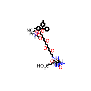 Cc1ccc(C(OCC(CC(=O)CCC(=O)CCC(=O)CCC(=O)CCCNC(=O)[C@@]2(CCCCC(=O)O)SC[C@@H]3NC(=O)N[C@@H]32)OP(OCCC#N)N(C(C)C)C(C)C)(c2ccccc2)c2ccc(C)cc2)cc1